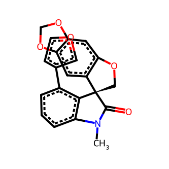 CN1C(=O)[C@]2(COc3cc4c(cc32)OCO4)c2c(-c3ccoc3)cccc21